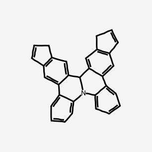 C1=Cc2cc3c(cc2C1)C1c2cc4c(cc2-c2ccccc2N1c1ccccc1-3)C=CC4